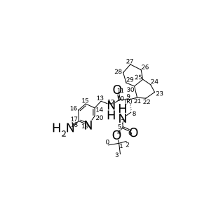 CC(C)(C)OC(=O)NC[C@H](C(=O)NCc1ccc(N)nc1)C1CCCC2CCCCC21